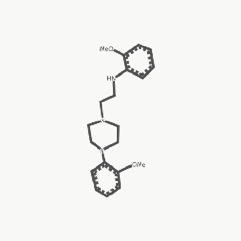 COc1ccccc1NCCN1CCN(c2ccccc2OC)CC1